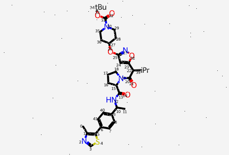 Cc1ncsc1-c1ccc(C(C)NC(=O)C2CCCN2C(=O)C(c2cc(OC3CCN(C(=O)OC(C)(C)C)CC3)no2)C(C)C)cc1